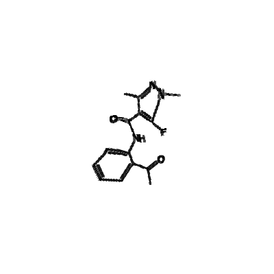 CC(=O)c1ccccc1NC(=O)c1c(C)nn(C)c1F